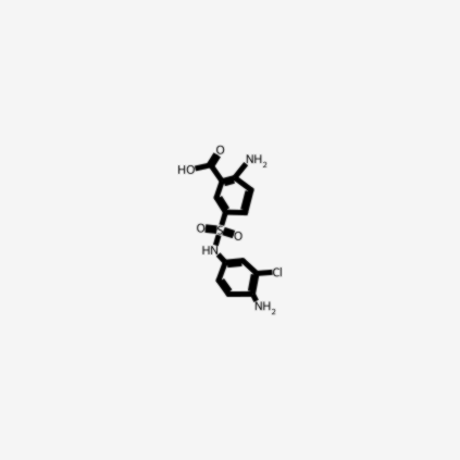 Nc1ccc(NS(=O)(=O)c2ccc(N)c(C(=O)O)c2)cc1Cl